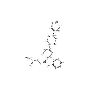 COC(=O)CCN(Cc1ccccc1)c1ccc(N2CCN(c3ccncc3)CC2)cc1